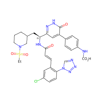 CCS(=O)(=O)N1CCCC(C[C@H](NC(=O)C=Cc2cc(Cl)ccc2-n2cnnn2)c2cc(-c3ccc(NC(=O)O)cc3)c(=O)[nH]n2)C1